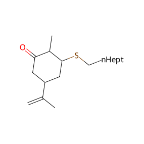 C=C(C)C1CC(=O)C(C)C(SCCCCCCCC)C1